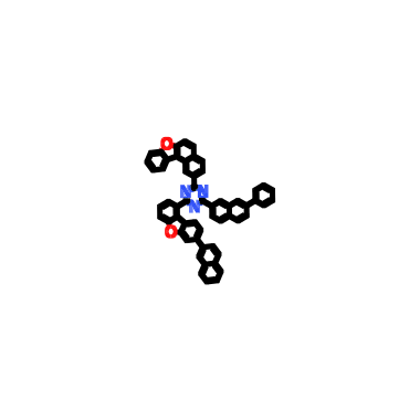 c1ccc(-c2ccc3ccc(-c4nc(-c5ccc6ccc7oc8ccccc8c7c6c5)nc(-c5cccc6oc7cc(-c8ccc9ccccc9c8)ccc7c56)n4)cc3c2)cc1